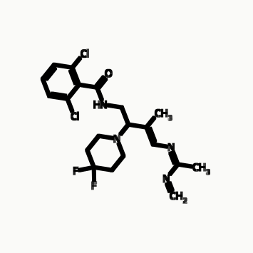 C=N/C(C)=N\C=C(/C)C(CNC(=O)c1c(Cl)cccc1Cl)N1CCC(F)(F)CC1